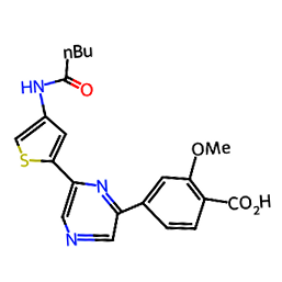 CCCCC(=O)Nc1csc(-c2cncc(-c3ccc(C(=O)O)c(OC)c3)n2)c1